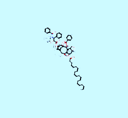 CC/C=C\C/C=C\C/C=C\C/C=C\C/C=C\C/C=C\CCC(=O)O[C@H]1C[C@H]2OC[C@@]2(OC(C)=O)[C@H]2[C@H](OC(=O)c3ccccc3)[C@]3(O)CC(OC(=O)[C@H](O[Si](CC)(CC)CC)[C@@H](NC(=O)c4ccccc4)c4ccccc4)C(C)=C([C@@H](OC(C)=O)C(=O)[C@]12C)C3(C)C